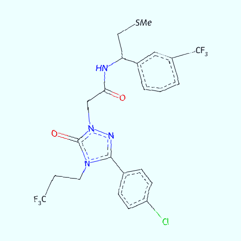 CSCC(NC(=O)Cn1nc(-c2ccc(Cl)cc2)n(CCC(F)(F)F)c1=O)c1cccc(C(F)(F)F)c1